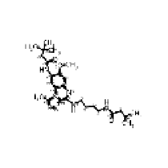 COc1cc2nc(NCCCCNC(=O)CC(C)C)c3nnc(C)n3c2cc1NC(=O)CC(C)(C)C